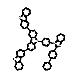 c1ccc(-c2ccc(-c3nc4ccccc4n3-c3ccc(-n4c5ccc(-c6ccc7oc8ccccc8c7c6)cc5c5cc(-c6ccc7oc8ccccc8c7c6)ccc54)cc3)cc2)cc1